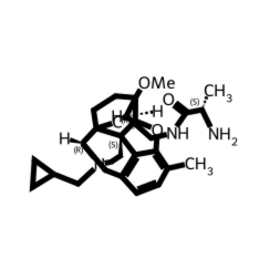 COC12CCC3(C[C@@H]1CNC(=O)[C@H](C)N)[C@H]1Cc4ccc(C)c5c4[C@@]3(CCN1CC1CC1)[C@H]2O5